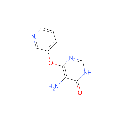 Nc1c(Oc2cccnc2)nc[nH]c1=O